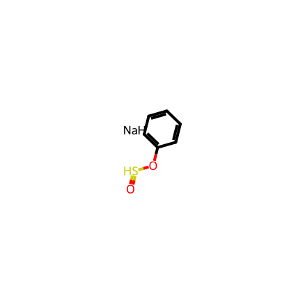 O=[SH]Oc1ccccc1.[NaH]